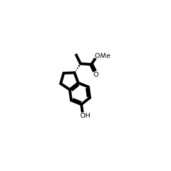 COC(=O)C(C)[C@H]1CCc2cc(O)ccc21